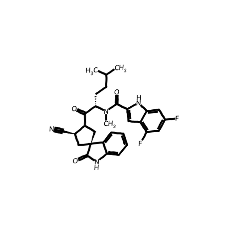 CC(C)CC[C@@H](C(=O)C1C[C@]2(C[C@H]1C#N)C(=O)Nc1ccccc12)N(C)C(=O)c1cc2c(F)cc(F)cc2[nH]1